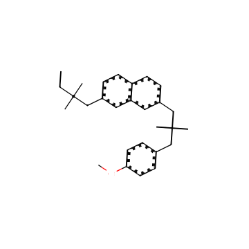 CCC(C)(C)Cc1ccc2ccc(CC(C)(C)Cc3ccc(OC)cc3)cc2c1